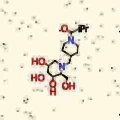 CC(C)C(=O)N1CCC(CN2C[C@H](O)[C@@H](O)[C@H](O)[C@@H]2CO)CC1